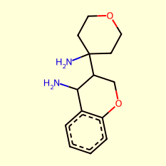 NC1c2ccccc2OCC1C1(N)CCOCC1